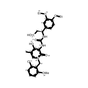 CCOc1ccc([C@H](CC(=O)O)NC(=O)Nc2c(O)c(C)cn(Cc3c(Cl)cccc3OC)c2=O)cc1OCC